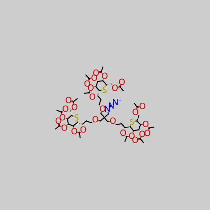 CC(=O)OC[C@@H]1S[C@H](CCCOCC(CN=[N+]=[N-])(COCCC[C@H]2S[C@@H](COC(C)=O)[C@@H](OC(C)=O)[C@H](OC(C)=O)[C@H]2OC(C)=O)COCCC[C@H]2S[C@@H](COC(C)=O)[C@@H](OC(C)=O)[C@H](OC(C)=O)[C@H]2OC(C)=O)[C@H](OC(C)=O)[C@@H](OC(C)=O)[C@@H]1OC(C)=O